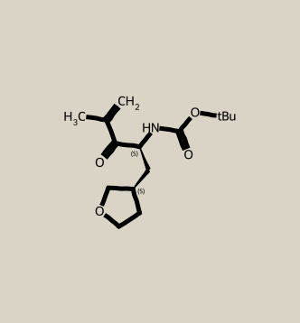 C=C(C)C(=O)[C@H](C[C@H]1CCOC1)NC(=O)OC(C)(C)C